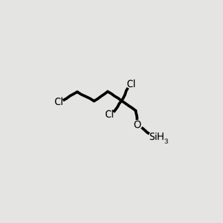 [SiH3]OCC(Cl)(Cl)CCCCl